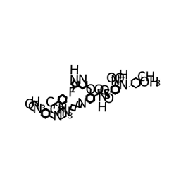 CC(C)c1ccccc1[C@@H]1CN(Cc2ccc(N3CCOCC3)cc2)CCN1C1CC2(C1)CN(c1ccc(C(=O)NS(=O)(=O)c3ccc(NC[C@H]4CC[C@](C)(O)CC4)c([N+](=O)[O-])c3)c(Oc3cnc4[nH]cc(F)c4c3)c1)C2